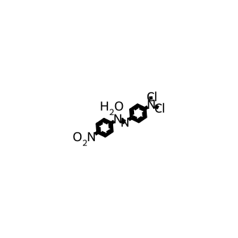 O.O=[N+]([O-])c1ccc(N=Nc2ccc(N(Cl)Cl)cc2)cc1